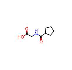 O=C(O)CNC(=O)C1CCCC1